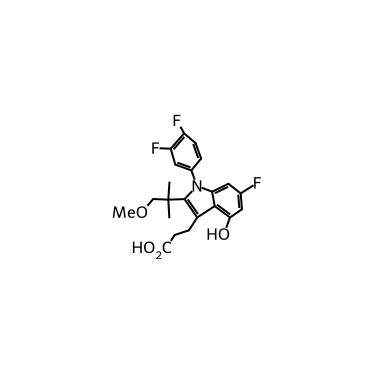 COCC(C)(C)c1c(CCC(=O)O)c2c(O)cc(F)cc2n1-c1ccc(F)c(F)c1